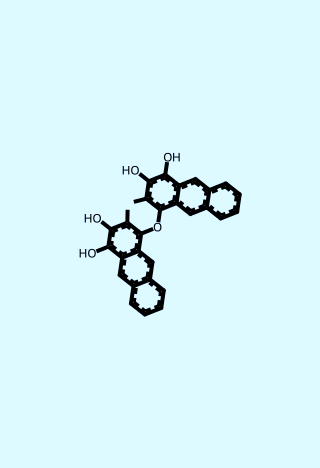 Cc1c(O)c(O)c2cc3ccccc3cc2c1Oc1c(C)c(O)c(O)c2cc3ccccc3cc12